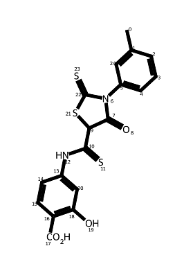 Cc1cccc(N2C(=O)C(C(=S)Nc3ccc(C(=O)O)c(O)c3)SC2=S)c1